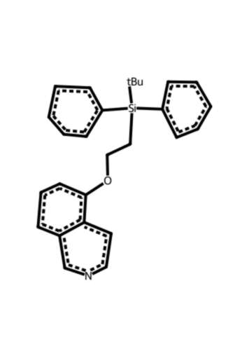 CC(C)(C)[Si](CCOc1cccc2cnccc12)(c1ccccc1)c1ccccc1